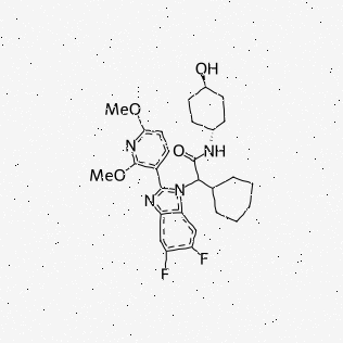 COc1ccc(-c2nc3cc(F)c(F)cc3n2C(C(=O)N[C@H]2CC[C@H](O)CC2)C2CCCCC2)c(OC)n1